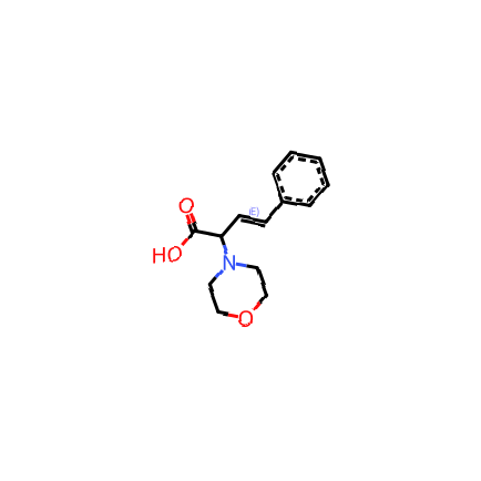 O=C(O)C(/C=C/c1ccccc1)N1CCOCC1